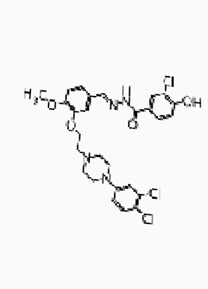 COc1ccc(/C=N/NC(=O)c2ccc(O)c(Cl)c2)cc1OCCN1CCN(c2ccc(Cl)c(Cl)c2)CC1